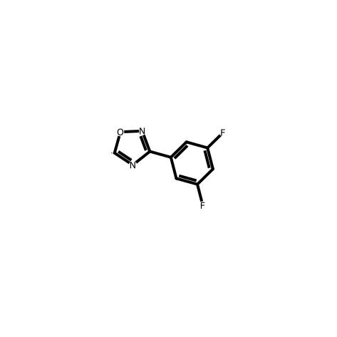 Fc1cc(F)cc(-c2n[c]on2)c1